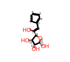 OC(=Cc1ccccc1)[C@H]1O[C@@H](O)[C@H](O)[C@@H]1O